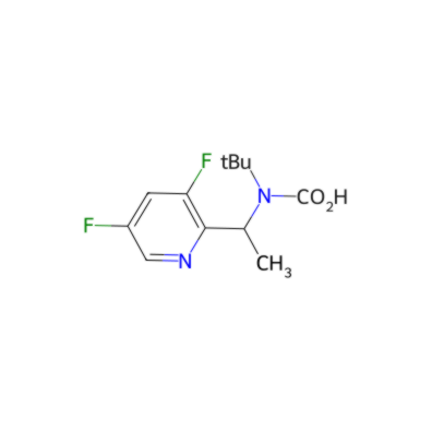 CC(c1ncc(F)cc1F)N(C(=O)O)C(C)(C)C